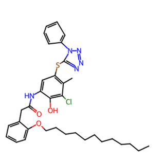 CCCCCCCCCCCCOc1ccccc1CC(=O)Nc1cc(Sc2nnnn2-c2ccccc2)c(C)c(Cl)c1O